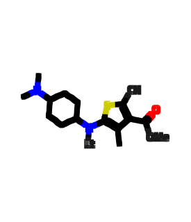 CCN(c1sc(C#N)c(C(=O)OC)c1C)C1CCC(N(C)C)CC1